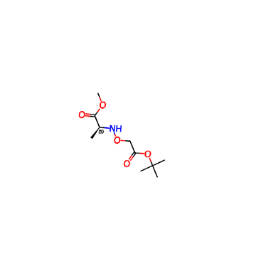 COC(=O)[C@H](C)NOCC(=O)OC(C)(C)C